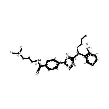 CCCSC(c1nnc(-c2ccc(C(=O)NCCCN(C)C)cc2)o1)c1ccccc1O